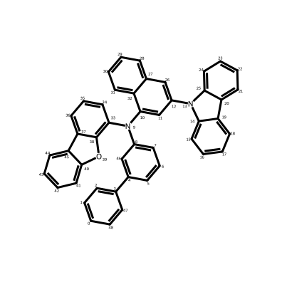 c1ccc(-c2cccc(N(c3cc(-n4c5ccccc5c5ccccc54)cc4ccccc34)c3cccc4c3oc3ccccc34)c2)cc1